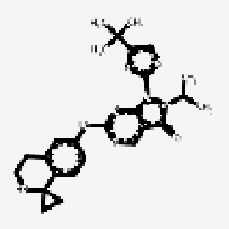 CC(C)n1c(=O)c2cnc(Nc3ccc4c(c3)CCNC43CC3)nc2n1-c1nc(C(C)(C)C)cs1